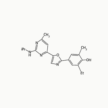 CCc1cc(-c2ncc(-c3cc(C)nc(NC(C)C)n3)o2)cc(C)c1O